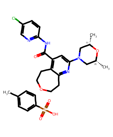 C[C@@H]1CN(c2cc(C(=O)Nc3ccc(Cl)cn3)c3c(n2)CCOCC3)C[C@H](C)O1.Cc1ccc(S(=O)(=O)O)cc1